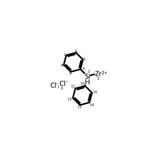 [Cl-].[Cl-].[Zr+2][SiH](c1ccccc1)c1ccccc1